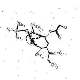 C=CC(=C)[C@@H]1C[C@@H](OC(=O)CCl)[C@]2(C)C(C)CC[C@]3(CC=C(O[Si](C)(C)C(C)(C)C)[C@H]32)[C@H]1C